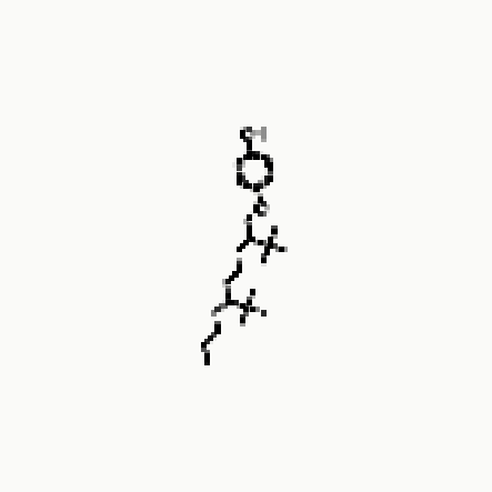 CCCCC(CCCC(COc1ccc(O)cc1)C(C)(C)C)C(C)(C)C